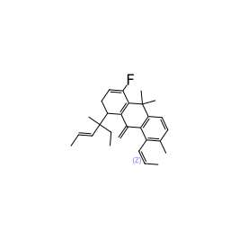 C=C1C2=C(C(F)=CCC2C(C)(C=CC)CC)C(C)(C)c2ccc(C)c(/C=C\C)c21